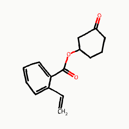 C=Cc1ccccc1C(=O)OC1CCCC(=O)C1